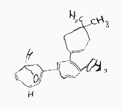 Cc1ccc(C2=C[C@H]3C=C[C@@H](C2)O3)cc1C1=CCC(C)(C)CC1